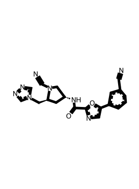 N#Cc1cccc(-c2cnc(C(=O)N[C@@H]3C[C@@H](Cn4cnnc4)N(C#N)C3)o2)c1